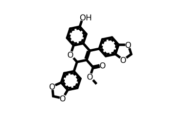 COC(=O)C1=C(c2ccc3c(c2)OCO3)c2cc(O)ccc2OC1c1ccc2c(c1)OCO2